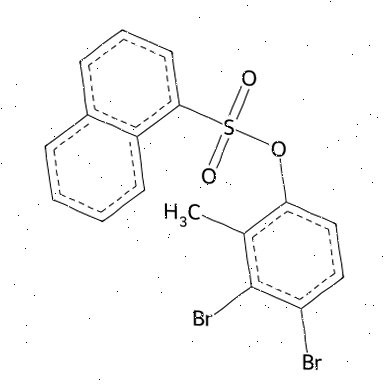 Cc1c(OS(=O)(=O)c2cccc3ccccc23)ccc(Br)c1Br